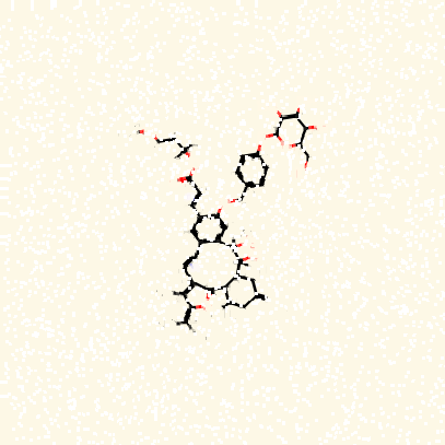 C=C1CC(C)C2C(C1)C1(C)OOC1(OC)c1cc(OCc3ccc(OC4OC(CO)C(O)C(O)C4O)cc3)c(/C=C/C(=O)OC(C)(C)CCOC(C)(C)C)cc1/C=C/C1=C(C#N)C(=C(C#N)C#N)OC12C